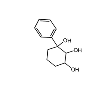 OC1CCCC(O)(c2ccccc2)C1O